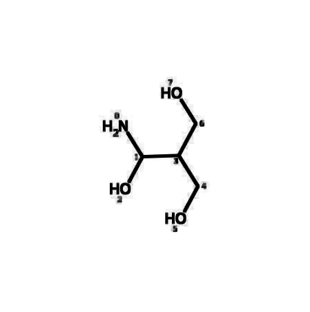 NC(O)C(CO)CO